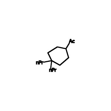 CCCC1(CCC)CCC(C(C)=O)CC1